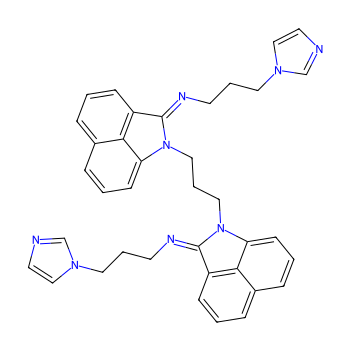 c1cc2c3c(cccc3c1)N(CCCN1C(=NCCCn3ccnc3)c3cccc4cccc1c34)C2=NCCCn1ccnc1